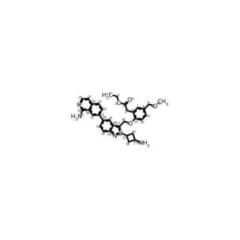 CCOC(=O)Cc1cc(COC)ccc1OCc1c2cc(-c3ccc4ccnc(N)c4c3)ccc2nn1C1CC(N)C1